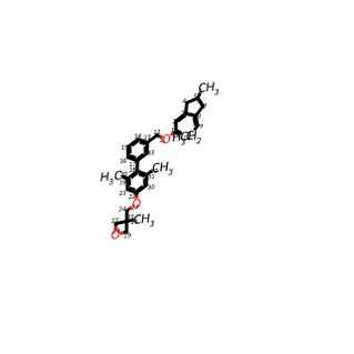 C=C(/C=C1/CC(C)C/C1=C/C)OCc1cccc(-c2c(C)cc(OCC3(C)COC3)cc2C)c1